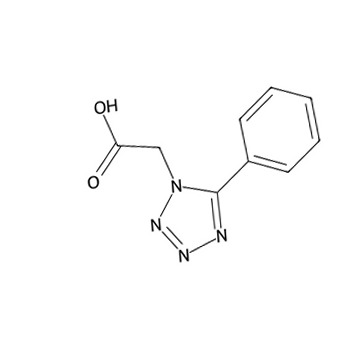 O=C(O)Cn1nnnc1-c1ccccc1